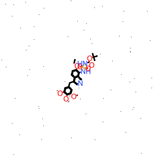 CCOc1ccc2c(Cc3cc(OC)c(OC)c(OC)c3)cncc2c1NS(=O)(=O)NC(=O)OC(C)(C)C